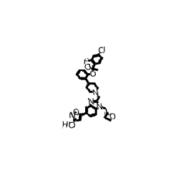 CC1(c2ccc(Cl)cc2F)Oc2cccc(C3CCN(Cc4nc5cc(-c6cc(O)no6)ccc5n4C[C@@H]4CCO4)CC3)c2O1